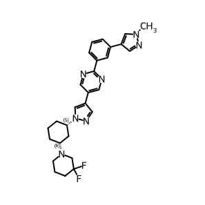 Cn1cc(-c2cccc(-c3ncc(-c4cnn([C@H]5CCC[C@@H](N6CCCC(F)(F)C6)C5)c4)cn3)c2)cn1